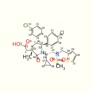 C[C@@]1(CC(=O)O)C[C@H](c2cccc(Cl)c2)[C@@H](c2ccc(Cl)cc2)N([C@H](CN(Cc2cccs2)S(C)(=O)=O)C2CC2)C1=O